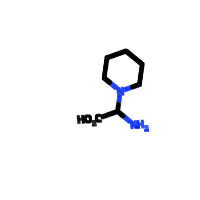 NC(C(=O)O)N1CCCCC1